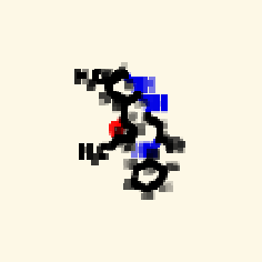 CCC(CCNC1NC=C(C)C=C1c1ccc(C)o1)NC1CCCCC1